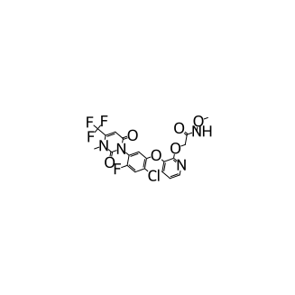 CONC(=O)COc1ncccc1Oc1cc(-n2c(=O)cc(C(F)(F)F)n(C)c2=O)c(F)cc1Cl